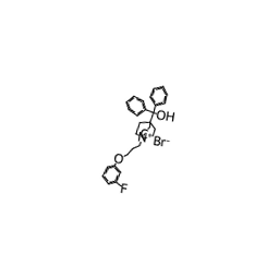 OC(c1ccccc1)(c1ccccc1)C12CC[N+](CCCOc3cccc(F)c3)(CC1)CC2.[Br-]